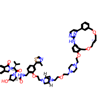 Cc1ncsc1-c1ccc(CNC(=O)[C@@H]2C[C@@H](O)CN2C(=O)[C@H](C(C)C)N2Cc3ccccc3C2=O)c(OCCN2C[C@@H]3C[C@H]2CN3CCOCCN2CCN(CCOc3ccc4cc3COC/C=C/COCc3cccc(c3)-c3ccnc(n3)N4)CC2)c1